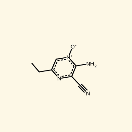 CCc1c[n+]([O-])c(N)c(C#N)n1